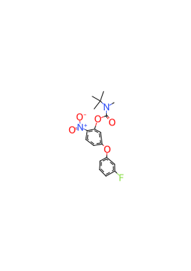 CN(C(=O)Oc1cc(Oc2cccc(F)c2)ccc1[N+](=O)[O-])C(C)(C)C